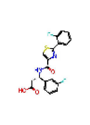 O=C(O)C[C@H](NC(=O)c1csc(-c2ccccc2F)n1)c1cccc(F)c1